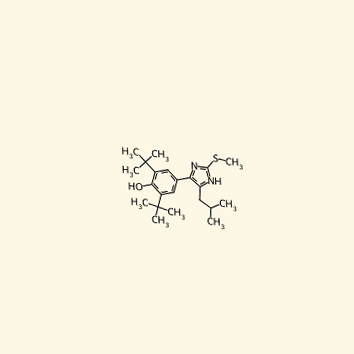 CSc1nc(-c2cc(C(C)(C)C)c(O)c(C(C)(C)C)c2)c(CC(C)C)[nH]1